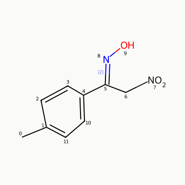 Cc1ccc(/C(C[N+](=O)[O-])=N/O)cc1